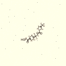 CC(C)(C)N1CCC(C(=O)OCC(C)(C)N2CCN(C(=O)CO)CC2)C1